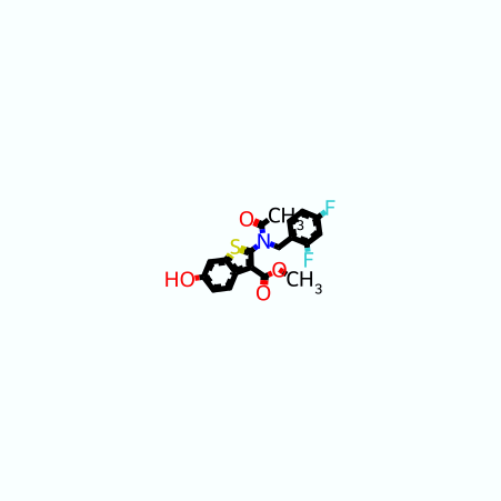 COC(=O)c1c(N(Cc2ccc(F)cc2F)C(C)=O)sc2cc(O)ccc12